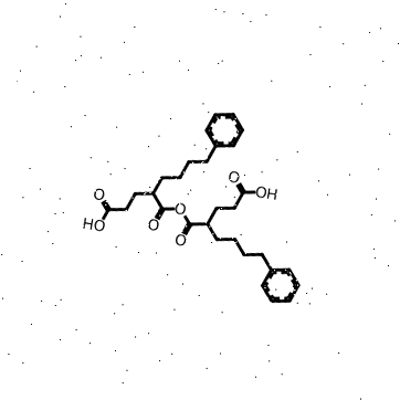 O=C(O)CCC(CCCCc1ccccc1)C(=O)OC(=O)C(CCCCc1ccccc1)CCC(=O)O